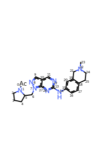 CC(=O)N1CCCC1Cn1ncc2cnc(Nc3ccc4c(c3)CN(C)CC4)nc21